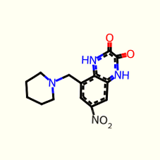 O=c1[nH]c2cc([N+](=O)[O-])cc(CN3CCCCC3)c2[nH]c1=O